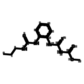 CCCNC(=O)Nc1ccccc1NC(=S)NC(=O)OC